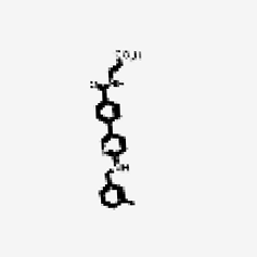 Cc1cccc(CNc2ccc(-c3ccc(C(=O)NCCC(=O)O)cc3)cn2)c1